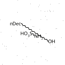 CCCCCCCCCCCCCCCCCCCCCCCCCCCCO.NCCS(=O)(=O)O